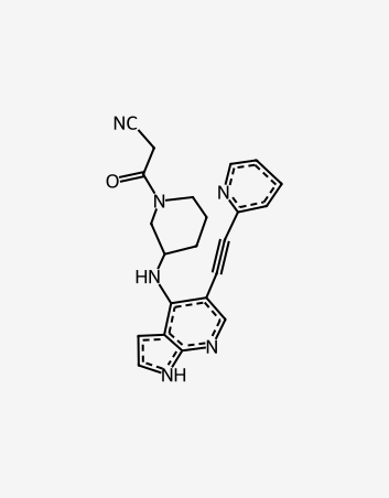 N#CCC(=O)N1CCCC(Nc2c(C#Cc3ccccn3)cnc3[nH]ccc23)C1